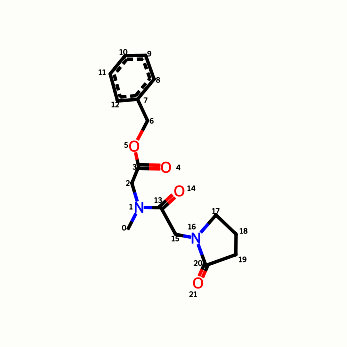 CN(CC(=O)OCc1ccccc1)C(=O)CN1CCCC1=O